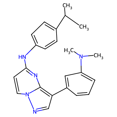 CC(C)c1ccc(Nc2ccn3ncc(-c4cccc(N(C)C)c4)c3n2)cc1